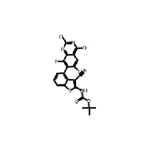 CC(C)(C)OC(=O)Nc1sc2cccc(-c3c(Cl)cc4c(O)nc(Cl)nc4c3F)c2c1C#N